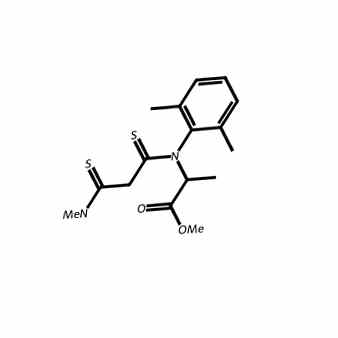 CNC(=S)CC(=S)N(c1c(C)cccc1C)C(C)C(=O)OC